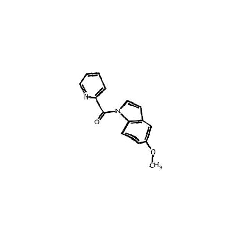 COc1ccc2c(ccn2C(=O)c2ccccn2)c1